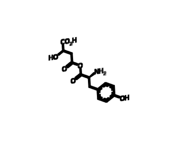 N[C@@H](Cc1ccc(O)cc1)C(=O)OC(=O)CC(O)C(=O)O